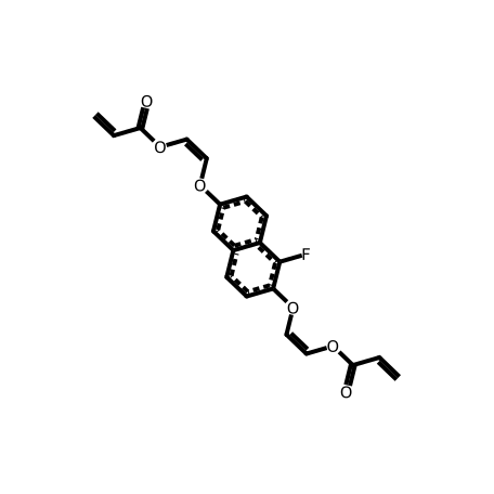 C=CC(=O)O/C=C\Oc1ccc2c(F)c(O/C=C\OC(=O)C=C)ccc2c1